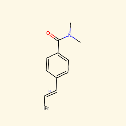 CC(C)/C=C/c1ccc(C(=O)N(C)C)cc1